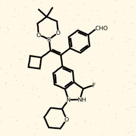 CC1(C)COB(/C(=C(\c2ccc(C=O)cc2)c2ccc3c(c2)C(F)NN3C2CCCCO2)C2CCC2)OC1